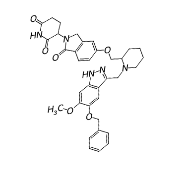 COc1cc2[nH]nc(CN3CCCCC3COc3ccc4c(c3)CN(C3CCC(=O)NC3=O)C4=O)c2cc1OCc1ccccc1